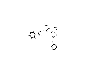 CC(C)C[C@H](NC(=O)[C@H](CC(C)C)NC(=O)OCc1ccccc1)C(=O)Cn1nnc(-c2c(F)c(F)c(F)c(F)c2F)n1